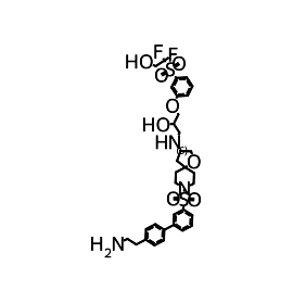 NCCc1ccc(-c2cccc(S(=O)(=O)N3CCC4(CC3)C[C@H](NCC(O)COc3cccc(S(=O)(=O)C(F)(F)CO)c3)CO4)c2)cc1